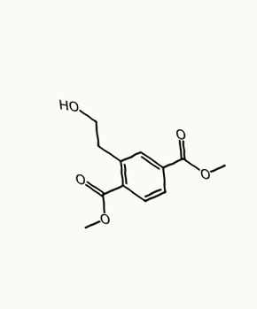 COC(=O)c1ccc(C(=O)OC)c(CCO)c1